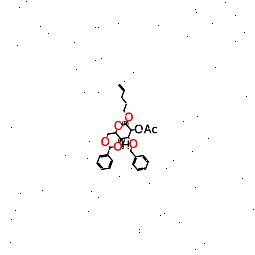 C=CCCCO[C@@H]1OC2COC(c3ccccc3)O[C@H]2C(OCc2ccccc2)C1OC(C)=O